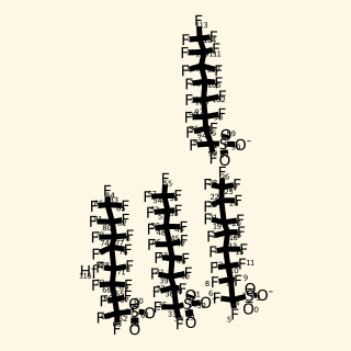 O=S(=O)([O-])C(F)(F)C(F)(F)C(F)(F)C(F)(F)C(F)(F)C(F)(F)C(F)(F)C(F)(F)F.O=S(=O)([O-])C(F)(F)C(F)(F)C(F)(F)C(F)(F)C(F)(F)C(F)(F)C(F)(F)C(F)(F)F.O=S(=O)([O-])C(F)(F)C(F)(F)C(F)(F)C(F)(F)C(F)(F)C(F)(F)C(F)(F)C(F)(F)F.O=S(=O)([O-])C(F)(F)C(F)(F)C(F)(F)C(F)(F)C(F)(F)C(F)(F)C(F)(F)C(F)(F)F.[Hf+4]